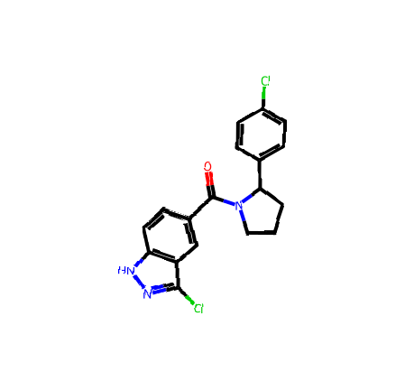 O=C(c1ccc2[nH]nc(Cl)c2c1)N1CCCC1c1ccc(Cl)cc1